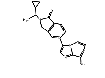 CC(C1CC1)N1Cc2cc(-c3cnc4c(N)ncnn34)ccc2C1=O